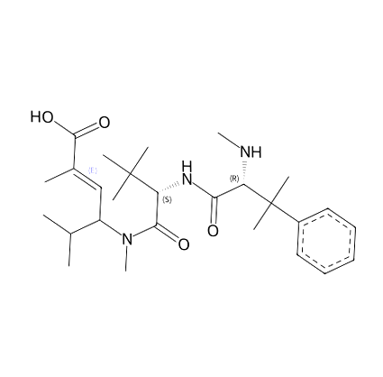 CN[C@@H](C(=O)N[C@H](C(=O)N(C)C(/C=C(\C)C(=O)O)C(C)C)C(C)(C)C)C(C)(C)c1ccccc1